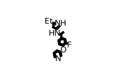 CC[C@H]1CC(NC(C)c2ccc(Oc3cccnc3)c(F)c2)=CN1